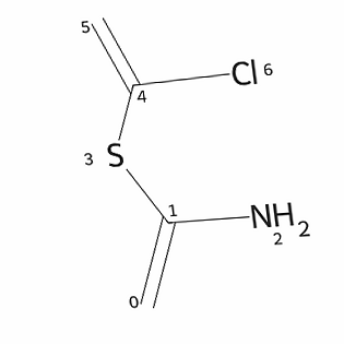 C=C(N)SC(=C)Cl